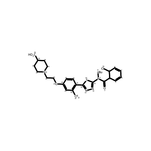 CCCCN(C(=O)C1C=CC=CC1Cl)c1nnc(-c2ccc(OCCN3CCC(C(=O)O)CC3)cc2C(F)(F)F)s1